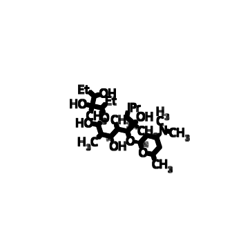 CCC(O)C(C)(O)C(CC)OC(O)C(C)[C@H](O)C(C)C(O[C@H]1C[C@@H](N(C)C)CC(C)O1)[C@@](C)(O)CC(C)C